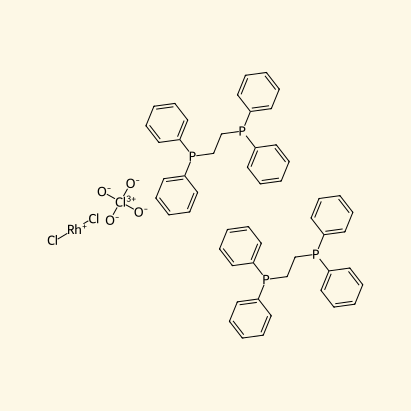 [Cl][Rh+][Cl].[O-][Cl+3]([O-])([O-])[O-].c1ccc(P(CCP(c2ccccc2)c2ccccc2)c2ccccc2)cc1.c1ccc(P(CCP(c2ccccc2)c2ccccc2)c2ccccc2)cc1